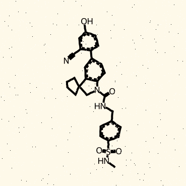 CNS(=O)(=O)c1ccc(CNC(=O)N2CC3(CCCC3)c3cc(-c4ccc(O)cc4C#N)ccc32)cc1